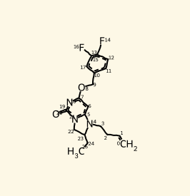 C=CCCN1c2cc(OCc3ccc(F)c(F)c3)nc(=O)n2CC1CC